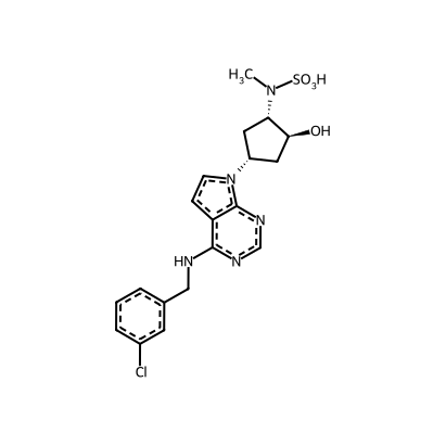 CN([C@H]1C[C@@H](n2ccc3c(NCc4cccc(Cl)c4)ncnc32)C[C@@H]1O)S(=O)(=O)O